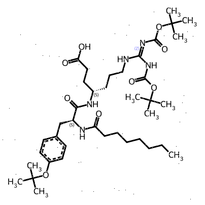 CCCCCCCC(=O)N[C@@H](Cc1ccc(OC(C)(C)C)cc1)C(=O)N[C@@H](CCCN/C(=N/C(=O)OC(C)(C)C)NC(=O)OC(C)(C)C)CCC(=O)O